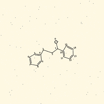 [O]C(CCc1ccccc1)c1ccccc1